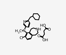 CN(c1ccc(CC2CCCCC2)nc1)c1c(Cl)ccc2c1CCNCC2.O=C(O)CCC(=O)O